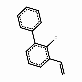 C=Cc1cccc(-c2ccccc2)c1F